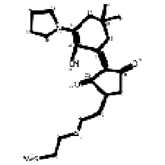 CSCCSCCC1CC(=O)/C(=C2\CC(C)(C)CC(N3CCCC3)=C2C#N)C1=O